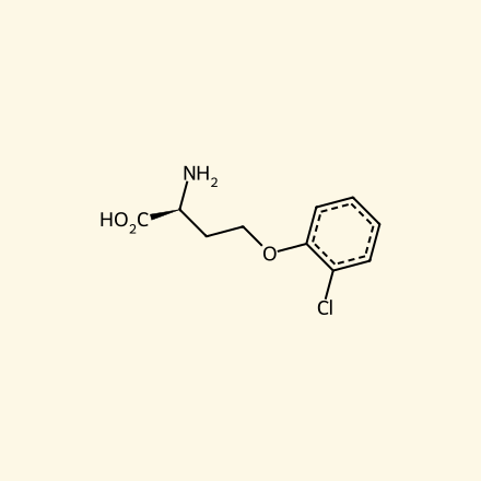 N[C@@H](CCOc1ccccc1Cl)C(=O)O